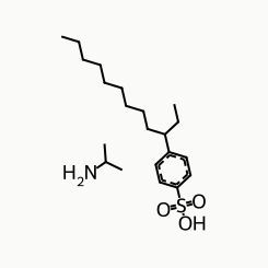 CC(C)N.CCCCCCCCCC(CC)c1ccc(S(=O)(=O)O)cc1